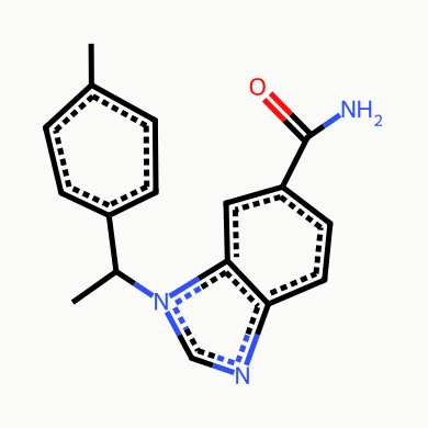 Cc1ccc(C(C)n2cnc3ccc(C(N)=O)cc32)cc1